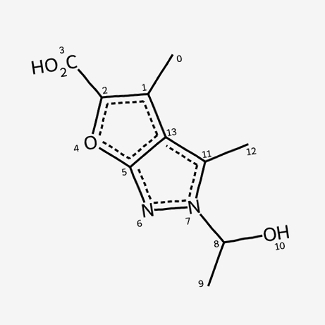 Cc1c(C(=O)O)oc2nn(C(C)O)c(C)c12